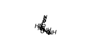 Cc1cnc(NCCc2cccc(CN(C)C)c2)c(=O)n1CC(=O)NCc1ccc2[nH]ccc2c1